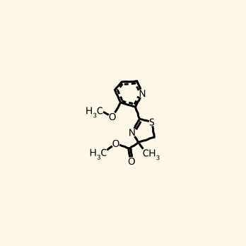 COC(=O)C1(C)CSC(c2ncccc2OC)=N1